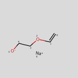 C=COCC[O-].[Na+]